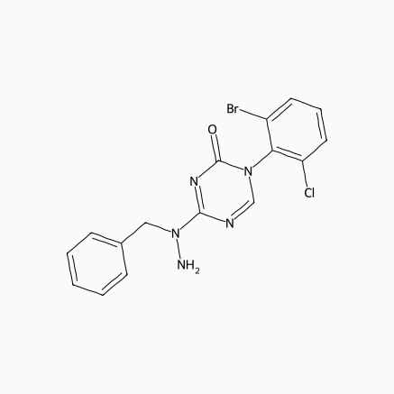 NN(Cc1ccccc1)c1ncn(-c2c(Cl)cccc2Br)c(=O)n1